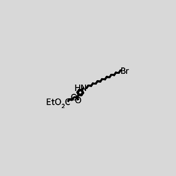 CCOC(=O)/C=C/OC(=O)c1ccc(NCCCCCCCCCCCCCCCCBr)cc1